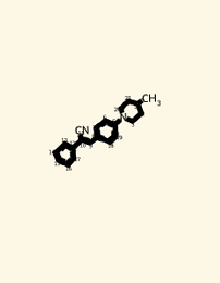 CC1CCN(c2ccc(/C=C(\C#N)c3ccccc3)cc2)CC1